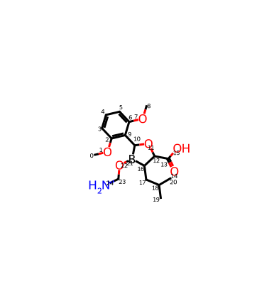 COc1cccc(OC)c1C1OC(C(=O)O)C(CC(C)C)B1OCN